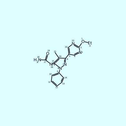 CCOc1ncc(-c2nn(-c3ccccc3)c(NC(N)=O)c2C)cn1